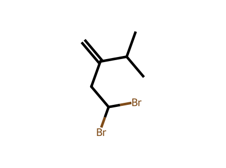 C=C(CC(Br)Br)C(C)C